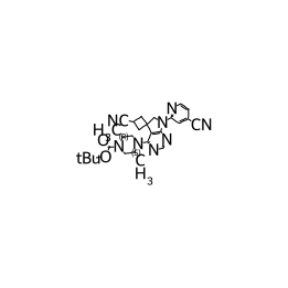 C[C@@H]1CN(c2ncnc3c2C2(CC(C#N)C2)CN3c2cc(C#N)ccn2)[C@@H](C)CN1C(=O)OC(C)(C)C